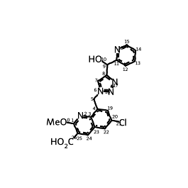 COc1nc2c(Cn3cc(C(O)c4ccccn4)nn3)cc(Cl)cc2cc1C(=O)O